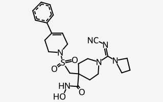 N#C/N=C(/N1CCC1)N1CCC(CS(=O)(=O)N2CC=C(c3ccccc3)CC2)(C(=O)NO)CC1